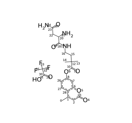 Cc1cc(=O)oc2cc(OC(=O)C(C)(C)CCNC(=O)C(N)CC(N)=O)ccc12.O=C(O)C(F)(F)F